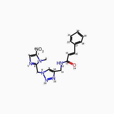 Cn1c([N+](=O)[O-])cnc1Cn1cc(CNC(=O)C=Cc2ccccc2)nn1